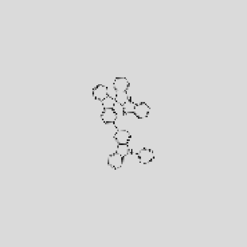 c1ccc(-n2c3ccccc3c3cc(-c4ccc5c(c4)C4(c6ccccc6-5)c5ccccc5-n5c4nc4ccccc45)ccc32)cc1